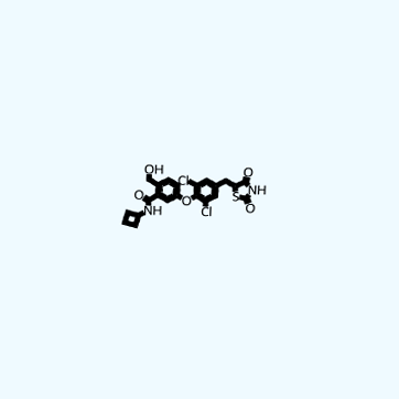 O=C1NC(=O)C(Cc2cc(Cl)c(Oc3ccc(CO)c(C(=O)NC4CCC4)c3)c(Cl)c2)S1